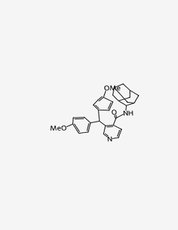 COc1ccc(C(c2ccc(OC)cc2)c2cnccc2C(=O)NC2C3CC4CC(C3)CC2C4)cc1